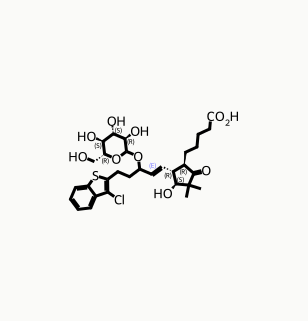 CC1(C)C(=O)[C@H](CCCCC(=O)O)[C@@H](/C=C/C(CCc2sc3ccccc3c2Cl)OC2O[C@H](CO)[C@@H](O)[C@H](O)[C@H]2O)[C@@H]1O